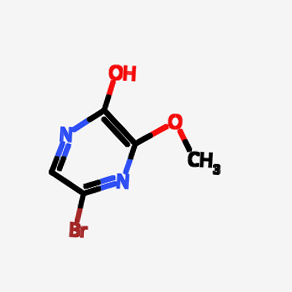 COc1nc(Br)cnc1O